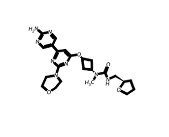 CN(C(=O)NC[C@H]1CCCO1)[C@H]1C[C@H](Oc2cc(-c3cnc(N)nc3)nc(N3CCOCC3)n2)C1